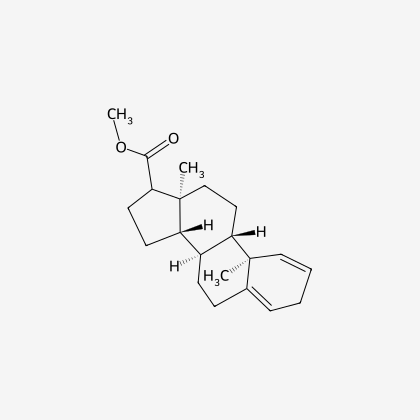 COC(=O)C1CC[C@H]2[C@@H]3CCC4=CCC=C[C@]4(C)[C@H]3CC[C@]12C